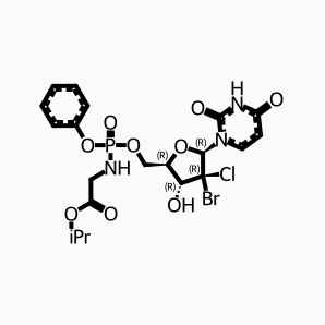 CC(C)OC(=O)CNP(=O)(OC[C@H]1O[C@@H](n2ccc(=O)[nH]c2=O)[C@](Cl)(Br)[C@@H]1O)Oc1ccccc1